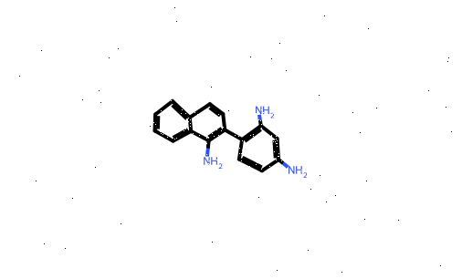 Nc1ccc(-c2ccc3ccccc3c2N)c(N)c1